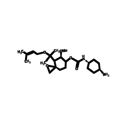 CO[C@H]1C(OC(=O)N[C@H]2CC[C@H](N)CC2)CC[C@]2(CO2)C1C(C)(C)OCC=C(C)C